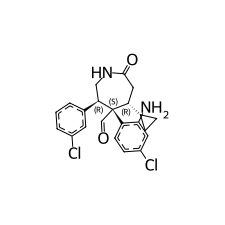 Nc1cc(Cl)ccc1[C@@]1(C=O)[C@@H](c2cccc(Cl)c2)CNC(=O)C[C@@H]1C1CC1